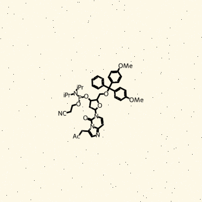 COc1ccc(C(OCC2OC(n3ccc4ncc(CC(C)=O)n4c3=O)CC2OP(OCCC#N)N(C(C)C)C(C)C)(c2ccccc2)c2ccc(OC)cc2)cc1